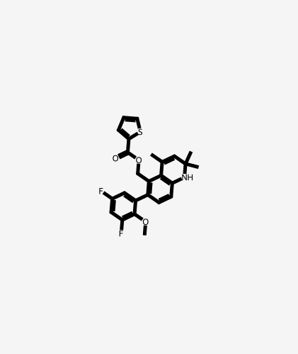 COc1c(F)cc(F)cc1-c1ccc2c(c1COC(=O)c1cccs1)C(C)=CC(C)(C)N2